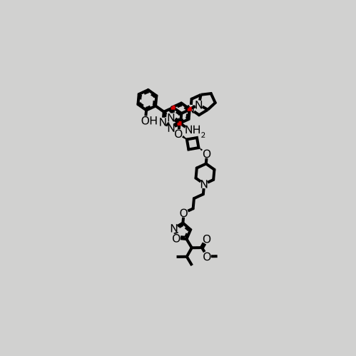 COC(=O)C(c1cc(OCCCN2CCC(O[C@H]3C[C@H](Oc4cc(N5C6CCC5CN(c5cc(-c7ccccc7O)nnc5N)C6)ccn4)C3)CC2)no1)C(C)C